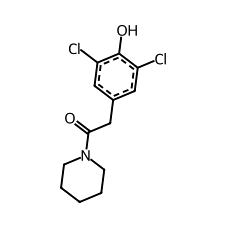 O=C(Cc1cc(Cl)c(O)c(Cl)c1)N1CCCCC1